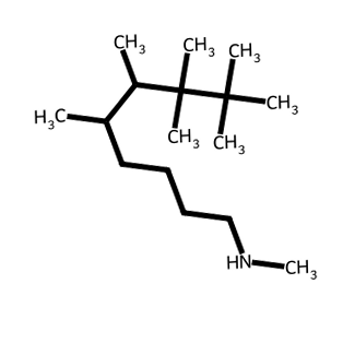 CNCCCCC(C)C(C)C(C)(C)C(C)(C)C